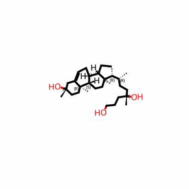 C[C@H](CC[C@](C)(O)CCCO)[C@H]1CC[C@H]2[C@@H]3CC=C4C[C@@](C)(O)CC[C@]4(C)[C@H]3CC[C@]12C